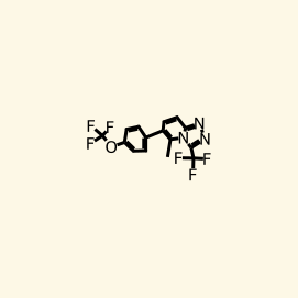 Cc1c(-c2ccc(OC(F)(F)F)cc2)ccc2nnc(C(F)(F)F)n12